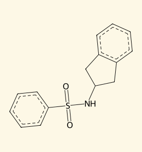 O=S(=O)(NC1Cc2ccccc2C1)c1ccccc1